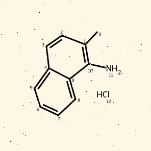 Cc1ccc2ccccc2c1N.Cl